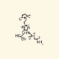 NC(=O)CNC(=O)CNC(=O)C(CCC(O)O)NC(=O)CCN1C(=O)C=CC1=O